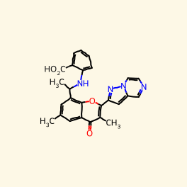 Cc1cc(C(C)Nc2ccccc2C(=O)O)c2oc(-c3cc4cnccn4n3)c(C)c(=O)c2c1